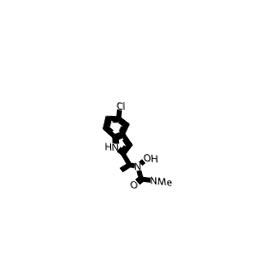 CNC(=O)N(O)C(C)c1cc2cc(Cl)ccc2[nH]1